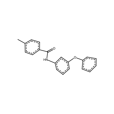 Cc1ccc(C(=O)Nc2cccc(Oc3ccccc3)c2)cc1